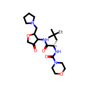 CCC(C)(C)C[C@H](NC(=O)N1CCOCC1)C(=O)NC1C(=O)COC1CN1CCCC1